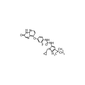 CC(C)(C)c1cc(NC(=O)Nc2ccc(Oc3ccnc4[nH]c(=O)cnc34)cc2F)n(CC2CC2)n1